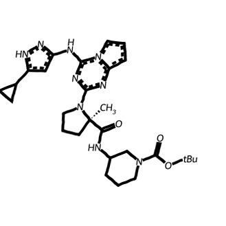 CC(C)(C)OC(=O)N1CCCC(NC(=O)[C@@]2(C)CCCN2c2nc(Nc3cc(C4CC4)[nH]n3)n3cccc3n2)C1